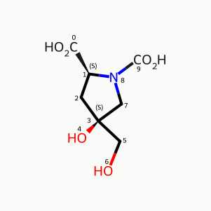 O=C(O)[C@@H]1C[C@@](O)(CO)CN1C(=O)O